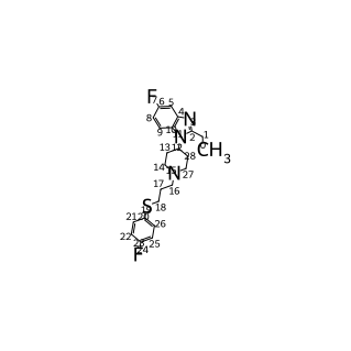 CCc1nc2cc(F)ccc2n1C1CCN(CCCSc2ccc(F)cc2)CC1